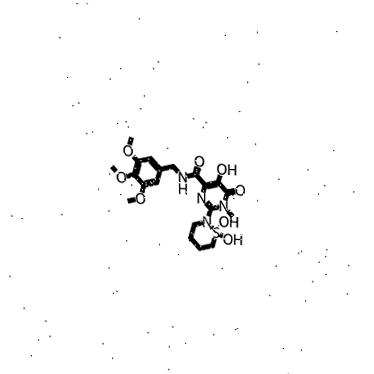 COc1cc(CNC(=O)c2nc(N3CCCCS3(O)O)n(C)c(=O)c2O)cc(OC)c1OC